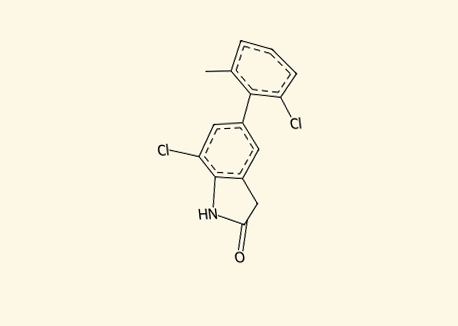 Cc1cccc(Cl)c1-c1cc(Cl)c2c(c1)CC(=O)N2